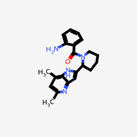 Cc1cc(C)c2[nH]c(C3CCCCN3C(=O)c3ccccc3N)cc2n1